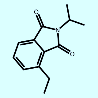 CCc1cccc2c1C(=O)N(C(C)C)C2=O